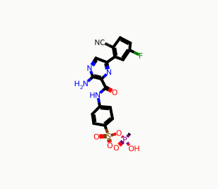 CP(=O)(O)OS(=O)(=O)c1ccc(NC(=O)c2nc(-c3cc(F)ccc3C#N)cnc2N)cc1